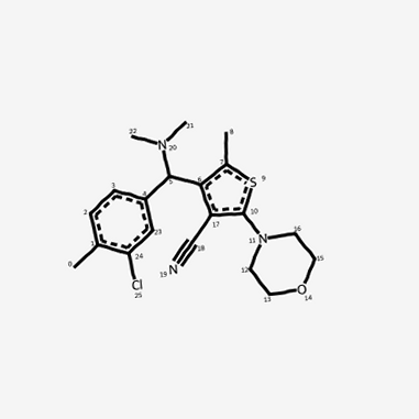 Cc1ccc(C(c2c(C)sc(N3CCOCC3)c2C#N)N(C)C)cc1Cl